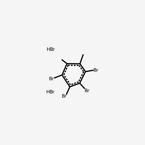 Br.Br.Cc1c(C)c(Br)c(Br)c(Br)c1Br